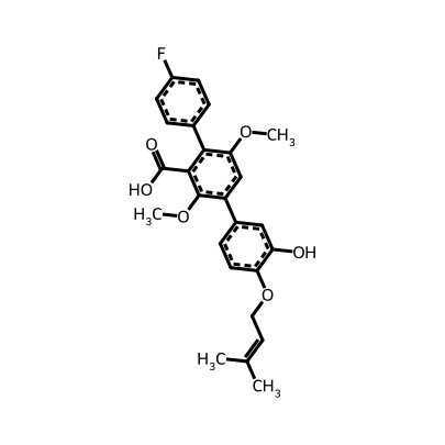 COc1cc(-c2ccc(OCC=C(C)C)c(O)c2)c(OC)c(C(=O)O)c1-c1ccc(F)cc1